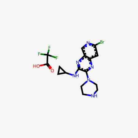 Brc1cc2nc(N3CCNCC3)c(NC3CC3)nc2cn1.O=C(O)C(F)(F)F